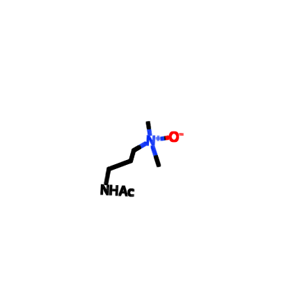 CC(=O)NCCC[N+](C)(C)[O-]